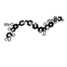 COc1cc(C2CCN(CC3CCN(c4ccc(-c5cnc6[nH]cc(C(=O)c7c(F)ccc(NS(=O)(=O)N8CC[C@@H](F)C8)c7F)c6c5)cn4)CC3)CC2)cc2c1C(=O)N(C1CCC(=O)NC1=O)C2